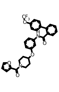 O=C(Nc1cccc(OC2CCN(C(=O)c3ccco3)CC2)c1)c1ccccc1-c1ccc(OC(F)(F)F)cc1